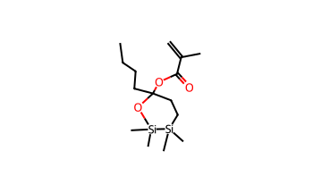 C=C(C)C(=O)OC1(CCCC)CC[Si](C)(C)[Si](C)(C)O1